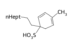 CCCCCCCCCC1(S(=O)(=O)O)C=CC(C)=CC1